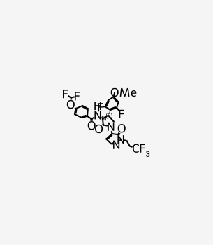 COc1cc(F)c([C@@H]2CN(c3ccnn(CCC(F)(F)F)c3=O)C(=O)[C@H]2NC(=O)c2ccc(OC(F)F)cc2)c(F)c1